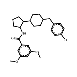 COc1cc(OC)cc(C(=O)NC2CCCC2N2CCC(Cc3ccc(Cl)cc3)CC2)c1